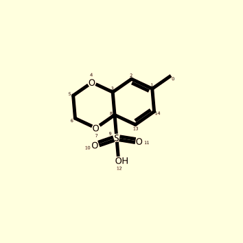 CC1=CC2OCCOC2(S(=O)(=O)O)C=C1